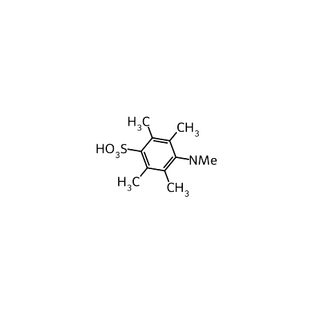 CNc1c(C)c(C)c(S(=O)(=O)O)c(C)c1C